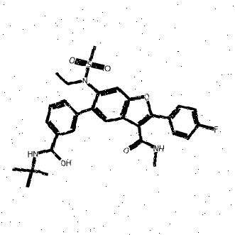 CCN(c1cc2oc(-c3ccc(F)cc3)c(C(=O)NC)c2cc1-c1cccc(C(O)NC(C)(C)C)c1)S(C)(=O)=O